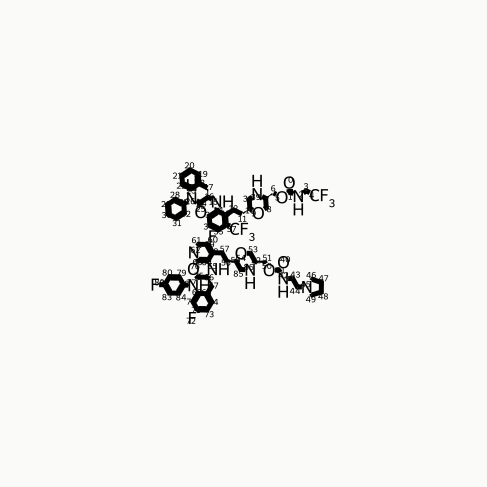 O=C(NCC(F)(F)F)OC[C@@H]1CO[C@H](CCc2c(N[C@@H](Cc3ccccc3)C(=O)Nc3ccccc3)cccc2C(F)(F)F)CN1.O=C(NCCN1CCCC1)OC[C@@H]1CO[C@H](CCc2c(F)cncc2N[C@@H](Cc2ccc(F)cc2)C(=O)Nc2ccc(F)cc2)CN1